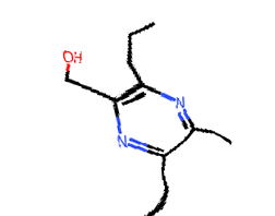 CCc1nc(CO)c(CC)nc1C